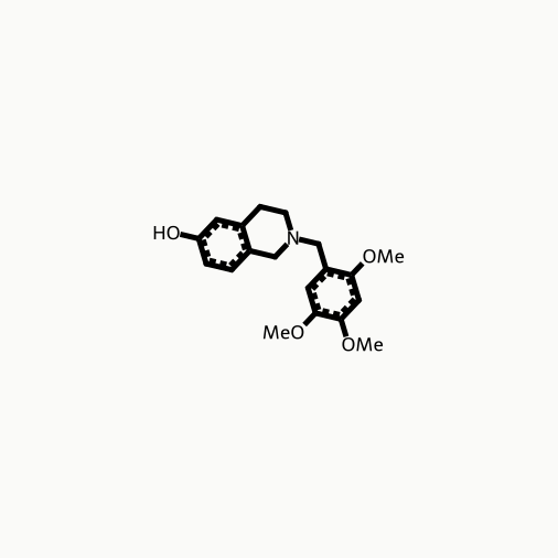 COc1cc(OC)c(OC)cc1CN1CCc2cc(O)ccc2C1